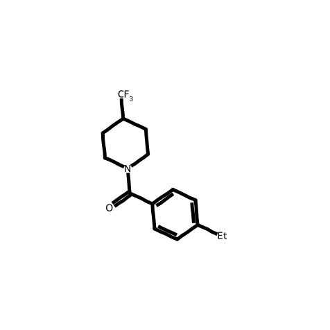 CCc1ccc(C(=O)N2CCC(C(F)(F)F)CC2)cc1